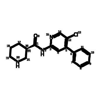 O=C(Nc1cc(-c2ccccc2)c(Cl)cn1)[C@@H]1CCCNC1